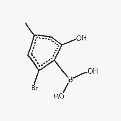 Cc1cc(O)c(B(O)O)c(Br)c1